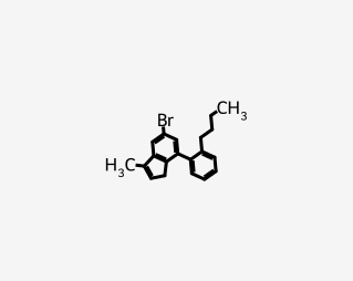 CCCCc1ccccc1-c1cc(Br)cc2c1CC=C2C